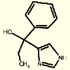 CCC(O)(c1ccccc1)c1c[nH]cn1